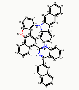 c1ccc2cc(-c3nc(-c4cc5c(oc6cccc(-n7c8ccccc8c8cc9ccccc9cc87)c65)c5ccccc45)nc4ccccc34)ccc2c1